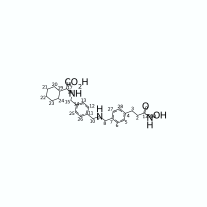 O=C(CCc1ccc(CNCc2ccc(CNC(C(=O)O)C3CCCCC3)cc2)cc1)NO